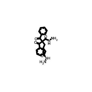 NNC(=O)CCCC(C(=O)NN)(C(=O)c1ccccc1)C(=O)c1ccccc1